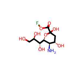 N[C@H]1[C@H]([C@H](O)[C@H](O)CO)OC(O)(C(=O)OF)C[C@@H]1O